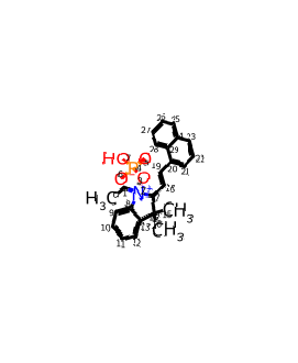 CC[N+]1(OP(=O)([O-])O)c2ccccc2C(C)(C)C1C=Cc1cccc2ccccc12